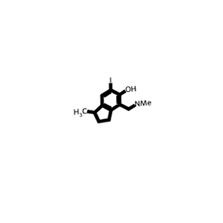 CNCc1c(O)c(I)cc2c1CCC2C